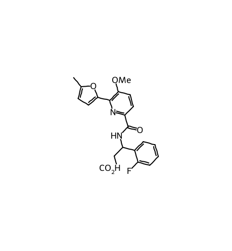 COc1ccc(C(=O)NC(CC(=O)O)c2ccccc2F)nc1-c1ccc(C)o1